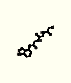 O=C(CCl)NCC(=O)NCC(=O)Oc1cccc2[nH]nnc12